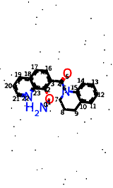 NOc1c(C(=O)N2CCCc3ccccc32)ccc2cccnc12